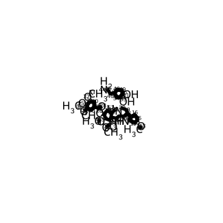 COC(=O)[C@H]1[C@H]2C[C@@H]3c4[nH]c5cc(OC)ccc5c4CCN3C[C@H]2C[C@@H](OC(=O)c2cc(OC)c(OC)c(OC)c2)[C@@H]1OC.NCCc1ccc(O)c(O)c1